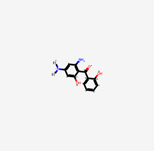 CCN(CC)c1cc(N)c(C(=O)c2ccccc2O)c(O)c1